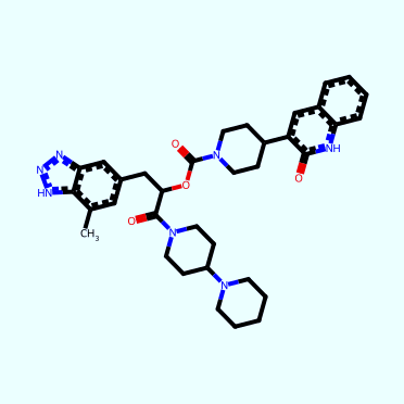 Cc1cc(CC(OC(=O)N2CCC(c3cc4ccccc4[nH]c3=O)CC2)C(=O)N2CCC(N3CCCCC3)CC2)cc2nn[nH]c12